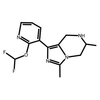 Cc1nc(-c2cccnc2OC(F)F)c2n1CC(C)NC2